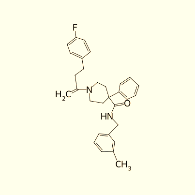 C=C(CCc1ccc(F)cc1)N1CCC(C(=O)NCc2cccc(C)c2)(c2ccccc2)CC1